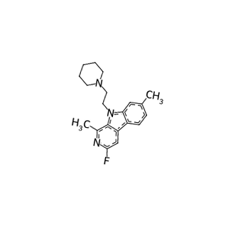 Cc1ccc2c3cc(F)nc(C)c3n(CCN3CCCCC3)c2c1